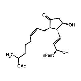 CCCCC[C@H](O)/C=C/[C@H]1[C@H](O)CC(=O)[C@@H]1C/C=C\CCCC(C)OC(C)=O